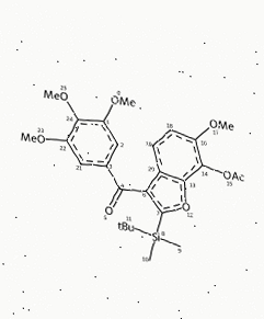 COc1cc(C(=O)c2c([Si](C)(C)C(C)(C)C)oc3c(OC(C)=O)c(OC)ccc23)cc(OC)c1OC